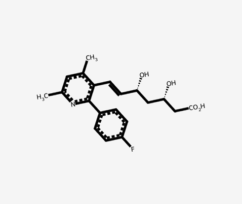 Cc1cc(C)c(/C=C/[C@H](O)C[C@H](O)CC(=O)O)c(-c2ccc(F)cc2)n1